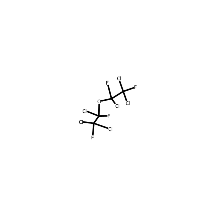 FC(Cl)(Cl)C(F)(Cl)OC(F)(Cl)C(F)(Cl)Cl